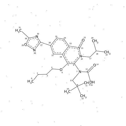 CCCCOc1c(N(CC(C)(C)C)C(=O)O)n(CC(C)C)c(=O)c2ccc(-c3noc(C)n3)cc12